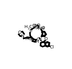 C[C@@H]1[C@@H](C)CCC[C@@](O)(C#CCN2CCOCC2)[C@@H]2CC[C@H]2CN2C[C@@]3(CCCc4cc(Cl)ccc43)COc3ccc(cc32)C(=O)NS1(=O)=O